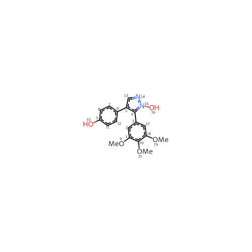 COc1cc(-c2c(-c3ccc(O)cc3)cnn2O)cc(OC)c1OC